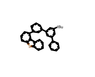 CC(C)(C)c1cc(-c2ccccc2)cc(-c2cccc(-c3cccc4sc5ccccc5c34)c2)c1